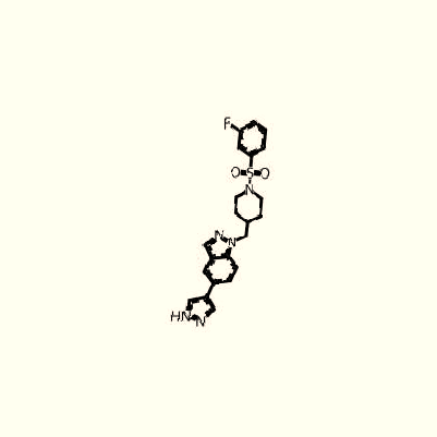 O=S(=O)(c1cccc(F)c1)N1CCC(Cn2ncc3cc(-c4cn[nH]c4)ccc32)CC1